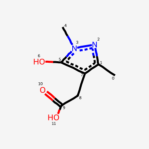 Cc1nn(C)c(O)c1CC(=O)O